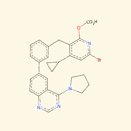 O=C(O)Oc1nc(Br)cc(C2CC2)c1Cc1cccc(-c2ccc3ncnc(N4CCCC4)c3c2)c1